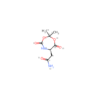 CC1(C)OC(=O)N[C@H](CC(N)=O)C(=O)O1